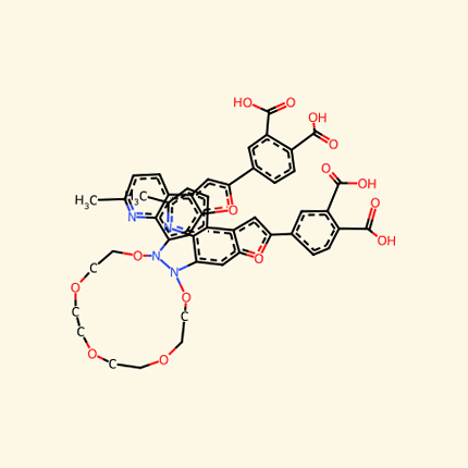 Cc1ccc2c(n1)c(N1OCCOCCOCCOCCON1c1cc3oc(-c4ccc(C(=O)O)c(C(=O)O)c4)cc3c3ccc(C)nc13)cc1oc(-c3ccc(C(=O)O)c(C(=O)O)c3)cc12